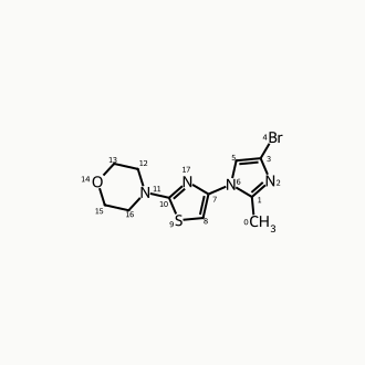 Cc1nc(Br)cn1-c1csc(N2CCOCC2)n1